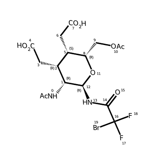 CC(=O)N[C@@H]1[C@H](CC(=O)O)[C@H](CC(=O)O)[C@H](COC(C)=O)O[C@H]1NC(=O)C(F)(F)Br